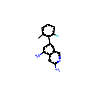 Cc1cccc(F)c1-c1cc(N)c2cc(N)ncc2c1